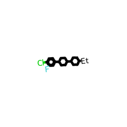 CCC1CCC(C2CCC(c3ccc(Cl)c(F)c3)CC2)CC1